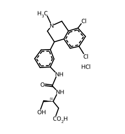 CN1Cc2c(Cl)cc(Cl)cc2C(c2cccc(NC(=O)N[C@H](CO)CC(=O)O)c2)C1.Cl